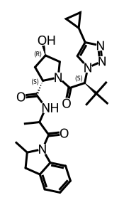 CC(NC(=O)[C@@H]1C[C@@H](O)CN1C(=O)[C@@H](n1cc(C2CC2)nn1)C(C)(C)C)C(=O)N1c2ccccc2CC1C